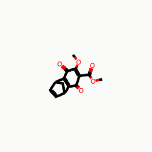 COC(=O)C1=C(OC)C(=O)C2=C(C1=O)C1C=CC2C1